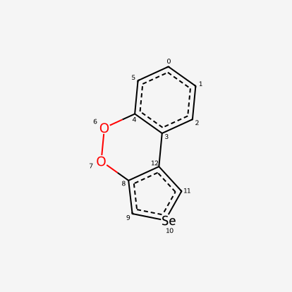 c1ccc2c(c1)OOc1c[se]cc1-2